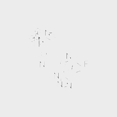 Cc1nc(N([C@@H]2CC[C@@H](CN3CCC4(CC3)CN(c3ncncc3Oc3ccc(F)cc3C(=O)N(C(C)C)C(C)C)C4)OC2)[SH](=O)=O)cs1